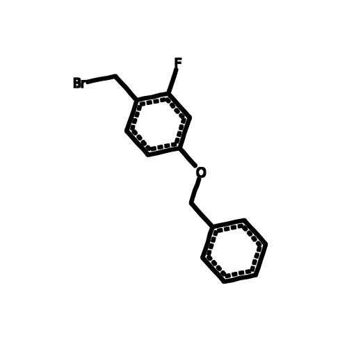 Fc1cc(OCc2ccccc2)ccc1CBr